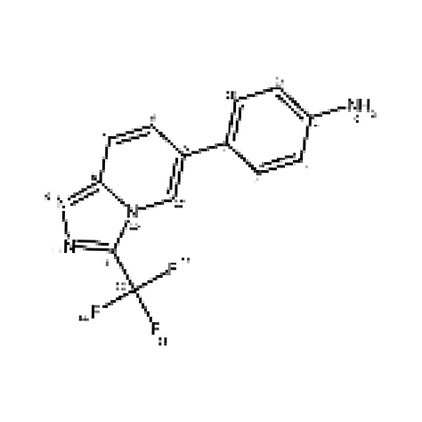 Nc1ccc(-c2ccc3nnc(C(F)(F)F)n3c2)cc1